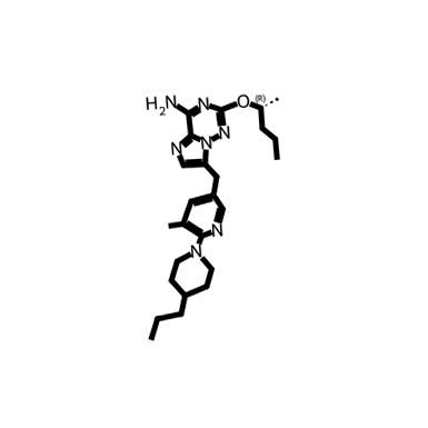 CCCC1CCN(c2ncc(Cc3cnc4c(N)nc(O[C@H](C)CCC)nn34)cc2C)CC1